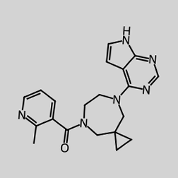 Cc1ncccc1C(=O)N1CCN(c2ncnc3[nH]ccc23)CC2(CC2)C1